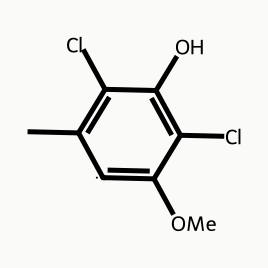 COc1[c]c(C)c(Cl)c(O)c1Cl